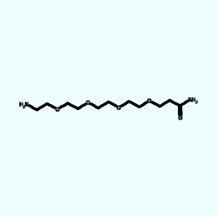 NCCOCCOCCOCCOCCC(N)=O